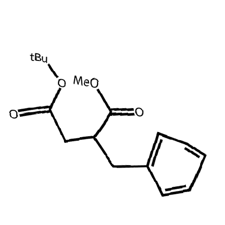 COC(=O)C(CC(=O)OC(C)(C)C)Cc1ccccc1